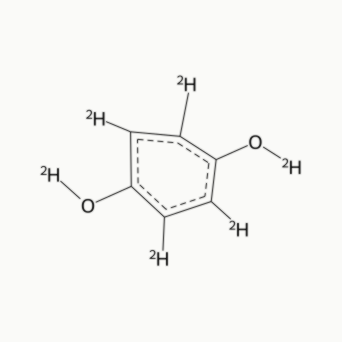 [2H]Oc1c([2H])c([2H])c(O[2H])c([2H])c1[2H]